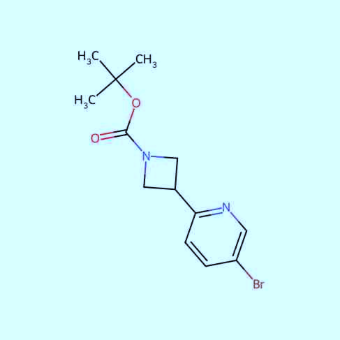 CC(C)(C)OC(=O)N1CC(c2ccc(Br)cn2)C1